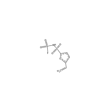 C=Cc1ccc(S(=O)(=O)NS(=O)(=O)F)o1